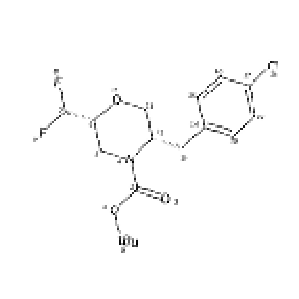 CC(C)(C)OC(=O)N1C[C@H](C(F)F)OC[C@@H]1Cc1ccc(Cl)cc1